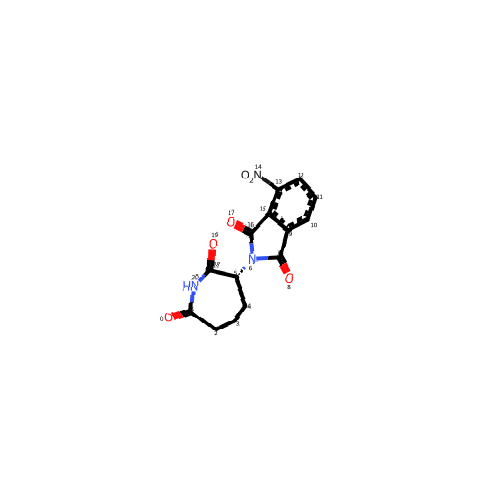 O=C1CCC[C@@H](N2C(=O)c3cccc([N+](=O)[O-])c3C2=O)C(=O)N1